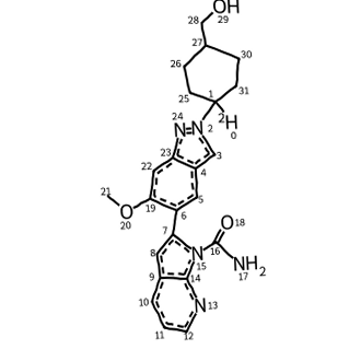 [2H]C1(n2cc3cc(-c4cc5cccnc5n4C(N)=O)c(OC)cc3n2)CCC(CO)CC1